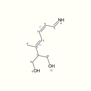 C/C(=C\C=C/C=N)C(CO)CO